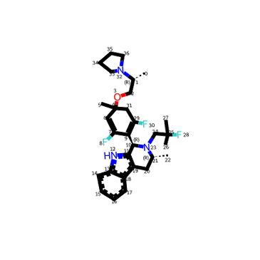 C[C@H](COC1(C)C=C(F)C([C@@H]2c3[nH]c4ccccc4c3C[C@@H](C)N2CC(C)(C)F)=C(F)C1)N1CCCC1